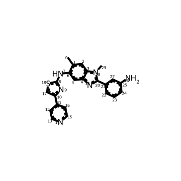 Cc1cc2c(cc1Nc1nc(-c3ccncc3)cs1)nc(-c1cccc(N)c1)n2C